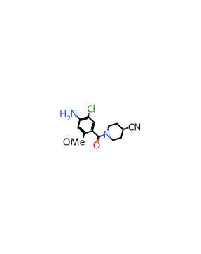 COc1cc(N)c(Cl)cc1C(=O)N1CCC(C#N)CC1